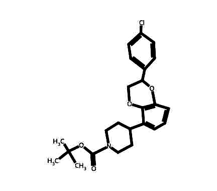 CC(C)(C)OC(=O)N1CCC(c2cccc3c2OCC(c2ccc(Cl)cc2)O3)CC1